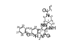 C=CC(=O)N1CCC2(CC1)CNc1c(C(N)=O)c(-c3ccc(Oc4ccccc4)cc3)nn12